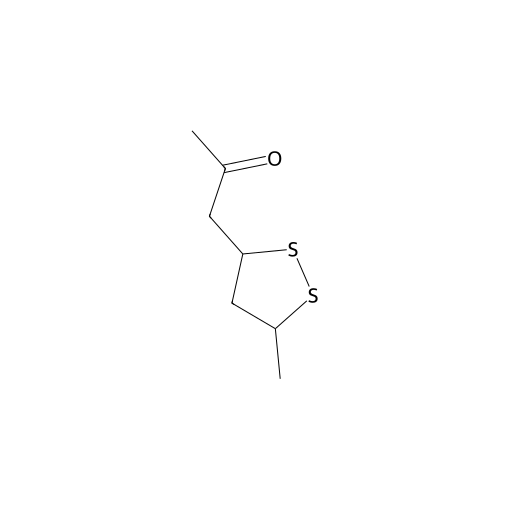 CC(=O)CC1CC(C)SS1